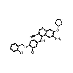 N#Cc1cnc2cc(OC3CCOC3)c(N)cc2c1Nc1ccc(OCc2ccccc2Cl)c(Cl)c1